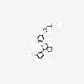 CNC(=O)CC1CN(c2ccc(C(F)(F)F)c(-n3nc(-c4cc(OC)cc(OC)c4)c4c(c3=O)CCC4)c2)C1